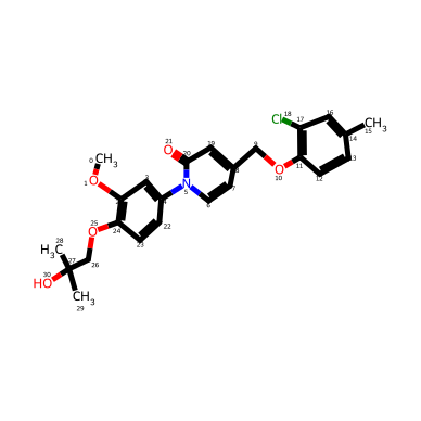 COc1cc(-n2ccc(COc3ccc(C)cc3Cl)cc2=O)ccc1OCC(C)(C)O